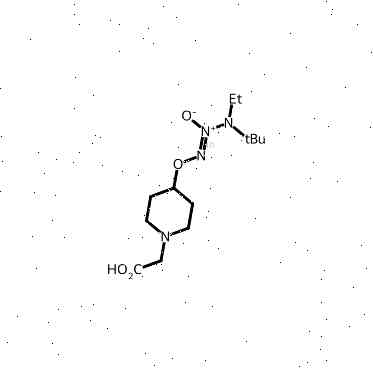 CCN(/[N+]([O-])=N/OC1CCN(CC(=O)O)CC1)C(C)(C)C